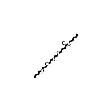 CCCCCOC(=O)CCCOCCOCCOCCOCCCC